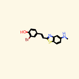 CNc1ccc2sc(C=Cc3ccc(O)c(Br)c3)nc2c1